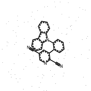 N#Cc1cnc(C#N)c(-c2ccccc2-n2c3ccccc3c3ccccc32)c1